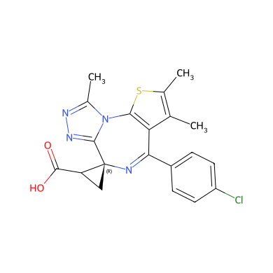 Cc1sc2c(c1C)C(c1ccc(Cl)cc1)=N[C@@]1(CC1C(=O)O)c1nnc(C)n1-2